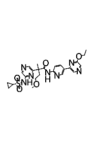 CCOc1cncc(-c2ccc(NC(=O)C(C)(CCOC)c3cncc(NS(=O)(=O)C4CC4)n3)nc2)n1